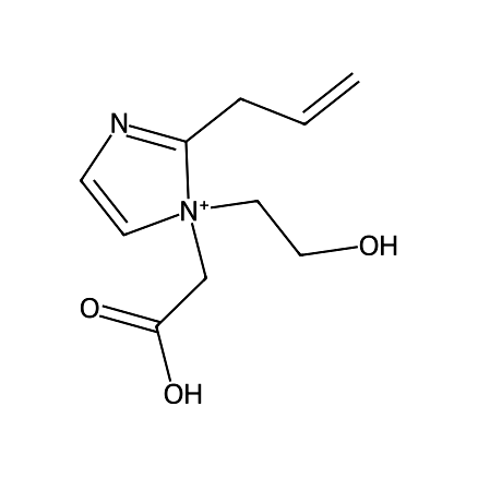 C=CCC1=NC=C[N+]1(CCO)CC(=O)O